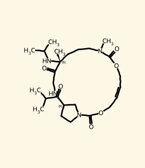 CC(C)N[C@]1(C)CCCN(C)C(=O)OCC=CCOC(=O)N2CC[C@](C(=O)C(C)C)(C2)NCC1=O